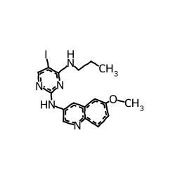 CCCNc1nc(Nc2cnc3ccc(OC)cc3c2)ncc1I